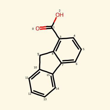 O=C(O)c1cccc2c1[CH]c1ccccc1-2